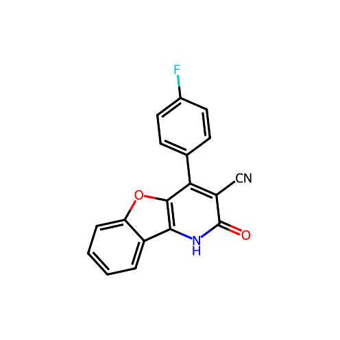 N#Cc1c(-c2ccc(F)cc2)c2oc3ccccc3c2[nH]c1=O